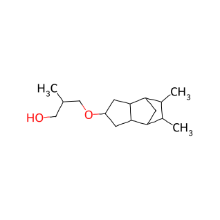 CC(CO)COC1CC2C3CC(C(C)C3C)C2C1